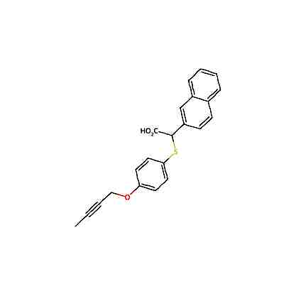 CC#CCOc1ccc(SC(C(=O)O)c2ccc3ccccc3c2)cc1